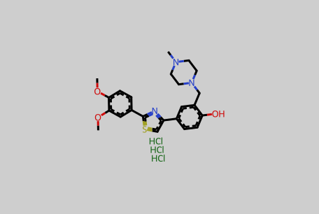 COc1ccc(-c2nc(-c3ccc(O)c(CN4CCN(C)CC4)c3)cs2)cc1OC.Cl.Cl.Cl